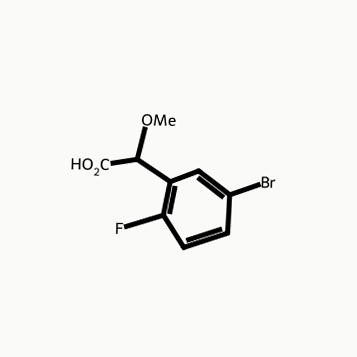 COC(C(=O)O)c1cc(Br)ccc1F